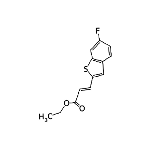 CCOC(=O)C=Cc1cc2ccc(F)cc2s1